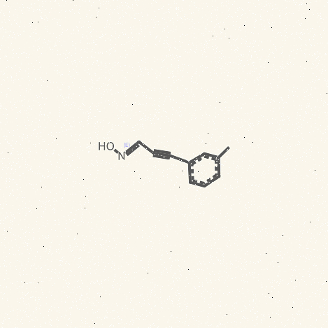 Cc1cccc(C#C/C=N/O)c1